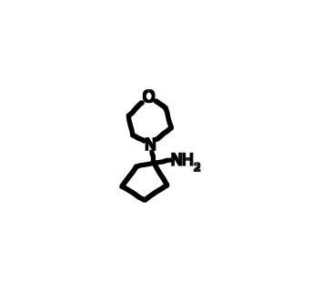 NC1(N2CCOCC2)CCCC1